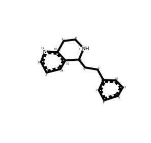 c1ccc(CCC2NCCc3ncccc32)cc1